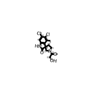 Cc1c(Cl)c(Cl)cc2c1C1(CCN(C(=O)CO)C1)C(=O)N2